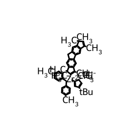 CC1=CC(C)(C)c2cc3c(cc21)-c1cc2c(cc1C3)C(C)(C)[C]([Zr+2]([C]1=CC(C(C)(C)C)=CC1C)=[C](c1ccc(C)cc1)c1ccc(C)cc1)=C2C.[Cl-].[Cl-]